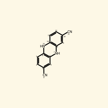 N#Cc1ccc2c(c1)Nc1cc(C#N)ccc1N2